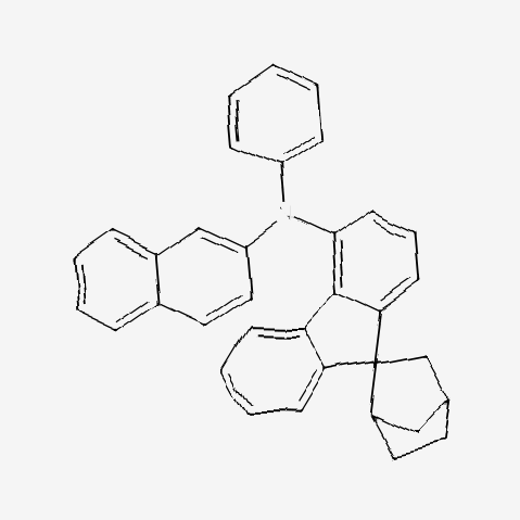 c1ccc(N(c2ccc3ccccc3c2)c2cccc3c2-c2ccccc2C32CC3CCC2C3)cc1